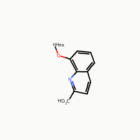 CCCCCCOc1cccc2ccc(C(=O)O)nc12